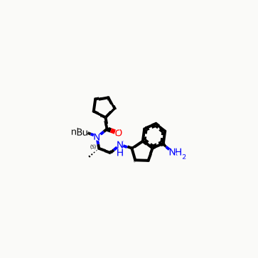 CCCCN(C(=O)C1CCCC1)[C@@H](C)CNC1CCc2c(N)cccc21